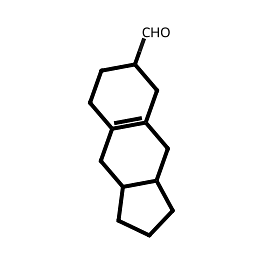 O=CC1CCC2=C(C1)CC1CCCC1C2